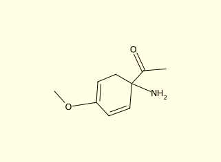 COC1=CCC(N)(C(C)=O)C=C1